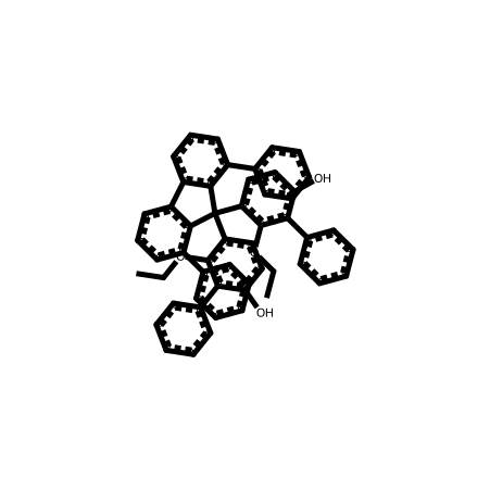 CCOc1c(C2(c3ccc(O)c(-c4ccccc4)c3OCC)c3c(-c4ccccc4)cccc3-c3cccc(-c4ccccc4)c32)ccc(O)c1-c1ccccc1